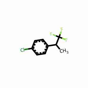 C[C](c1ccc(Cl)cc1)C(F)(F)F